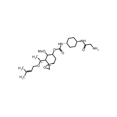 COC1C(OC(=O)N[C@H]2CC[C@H](NC(=O)CN)CC2)CC[C@]2(CO2)C1[C@H](C)OCC=C(C)C